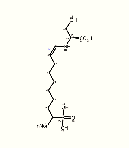 CCCCCCCCCC(CCCCCC/C=C\N[C@@H](CO)C(=O)O)P(=O)(O)O